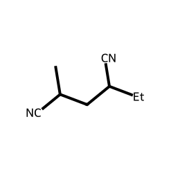 [CH2]CC(C#N)CC(C)C#N